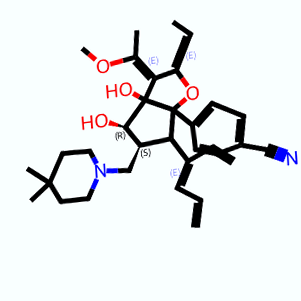 C=C/C=C(\C=C)C1[C@@H](CN2CCC(C)(C)CC2)[C@@H](O)C2(O)C(=C(/C)OC)/C(=C\C)OC12c1ccc(C#N)cc1